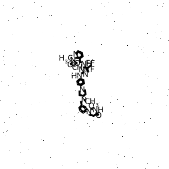 CN(Cc1cccc(N2CCC(=O)NC2=O)c1)C1CCN(c2ccc(Nc3ncc(C(F)(F)F)c(NCc4cccnc4N(C)S(C)(=O)=O)n3)cc2)CC1